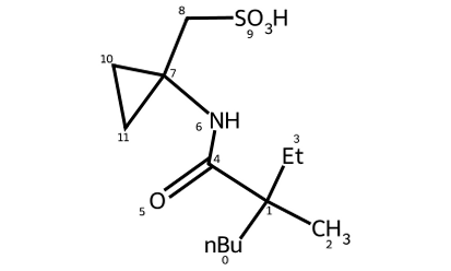 CCCCC(C)(CC)C(=O)NC1(CS(=O)(=O)O)CC1